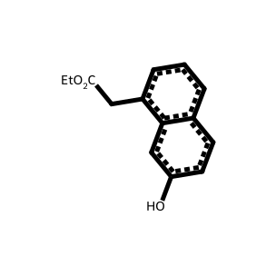 CCOC(=O)Cc1cccc2ccc(O)cc12